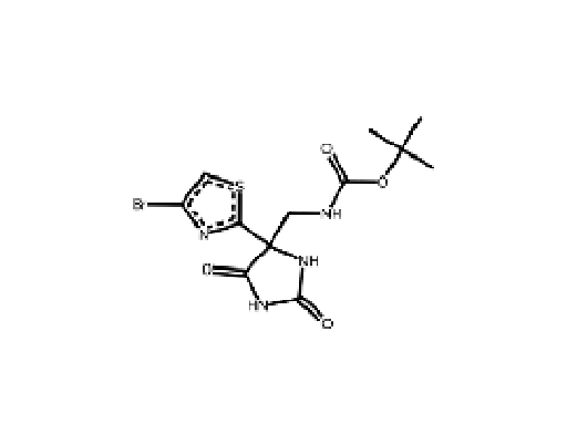 CC(C)(C)OC(=O)NCC1(c2nc(Br)cs2)NC(=O)NC1=O